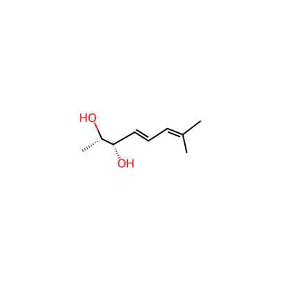 CC(C)=C/C=C/[C@H](O)[C@H](C)O